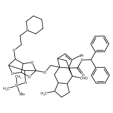 CC(C)C1=CC2CC3(C=O)C4CCC(C)C4CC2(COC24OC5OC(C(OCCN6CCCCC6)C5O2)C4O[Si](C)(C)C(C)(C)C)C13C(=O)OC(c1ccccc1)c1ccccc1